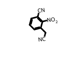 N#CCc1cccc(C#N)c1[N+](=O)[O-]